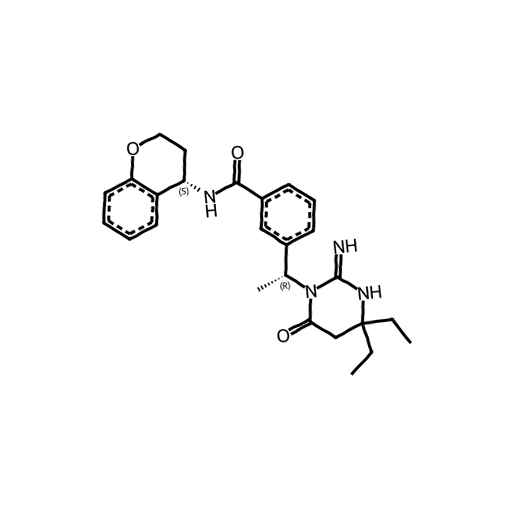 CCC1(CC)CC(=O)N([C@H](C)c2cccc(C(=O)N[C@H]3CCOc4ccccc43)c2)C(=N)N1